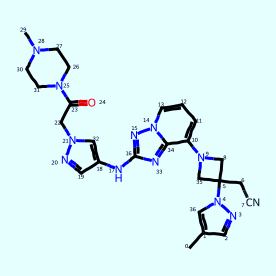 Cc1cnn(C2(CC#N)CN(c3cccn4nc(Nc5cnn(CC(=O)N6CCN(C)CC6)c5)nc34)C2)c1